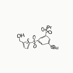 CC(C)S(=O)(=O)c1cc(C(C)(C)C)cc(S(=O)(=O)c2ccc(CO)s2)c1